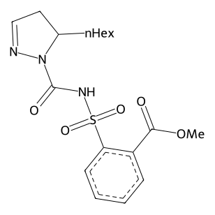 CCCCCCC1CC=NN1C(=O)NS(=O)(=O)c1ccccc1C(=O)OC